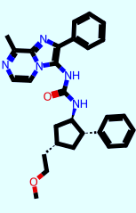 COCC[C@@H]1C[C@@H](NC(=O)Nc2c(-c3ccccc3)nc3c(C)nccn23)[C@H](c2ccccc2)C1